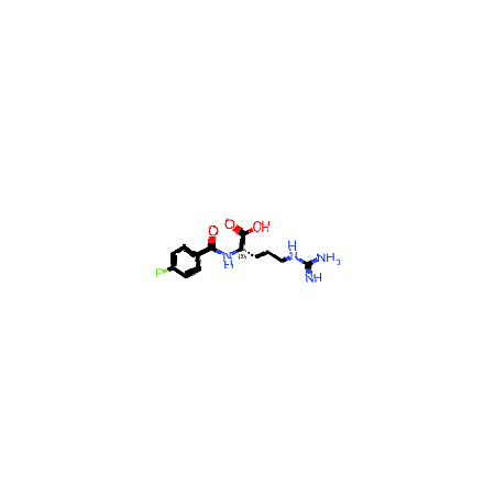 N=C(N)NCCC[C@H](NC(=O)c1ccc(F)cc1)C(=O)O